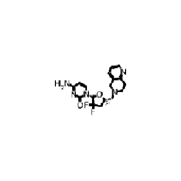 Nc1ccn([C@@H]2O[C@H](CN3CCc4ncccc4C3)CC2(F)F)c(=O)n1